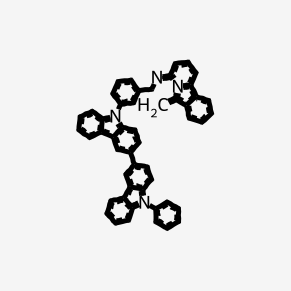 C=c1c2ccccc2c2ccc/c(=N/Cc3cccc(-n4c5ccccc5c5cc(-c6ccc7c(c6)c6ccccc6n7-c6ccccc6)ccc54)c3)n12